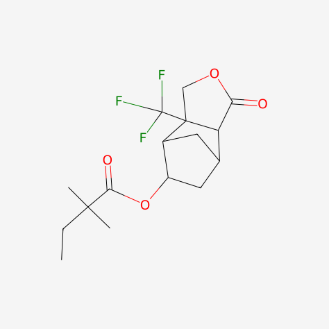 CCC(C)(C)C(=O)OC1CC2CC1C1(C(F)(F)F)COC(=O)C21